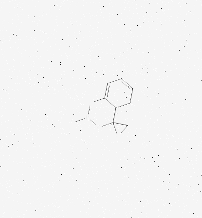 ClP1OC2=CC=CCC2C2(CO2)O1